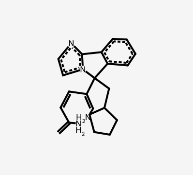 C=C(N)/C=C\C(=C/N)C1(CC2CCCC2)c2ccccc2-c2nccn21